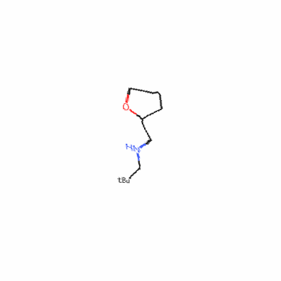 CC(C)(C)CNCC1CCCO1